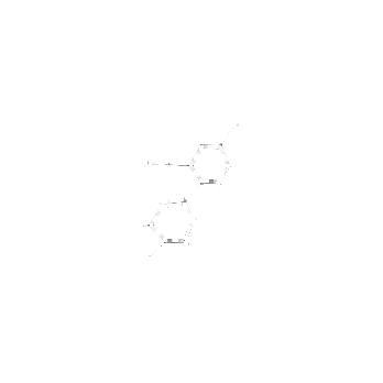 COc1cc(Br)cnc1-c1ncc(Cl)nn1